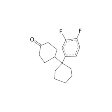 O=C1CCC(C2(c3ccc(F)c(F)c3)CCCCC2)CC1